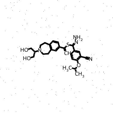 C=C(S/C(=N\N)c1ccc(OC(C)C)c(C#N)c1)c1ccc2c(c1)CCN(C(CO)CO)CC2